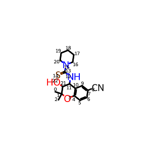 CC1(C)Oc2ccc(C#N)cc2C(NC(=S)N2CCCCC2)C1O